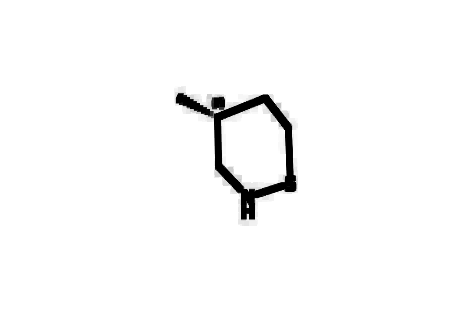 C[C@@H]1CCSNC1